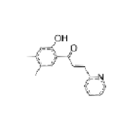 Cc1cc(O)c(C(=O)C=Cc2ccccn2)cc1C